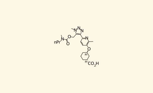 CCCN(C)C(=O)OCc1c(-c2ccc(O[C@@H]3CCC[C@@H](C(=O)O)C3)c(C)n2)nnn1C